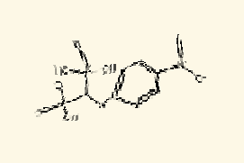 O=[N+](O)c1ccc(OC(P(=O)([O-])O)P(=O)(O)O)cc1